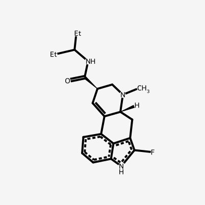 CCC(CC)NC(=O)[C@@H]1C=C2c3cccc4[nH]c(F)c(c34)C[C@H]2N(C)C1